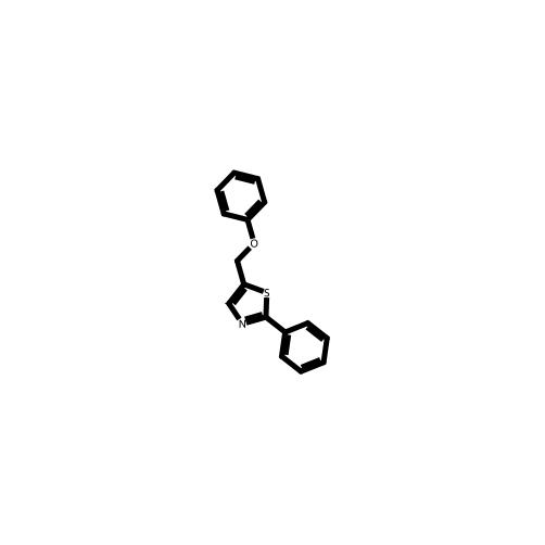 [c]1nc(-c2ccccc2)sc1COc1ccccc1